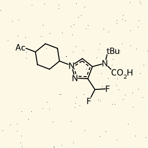 CC(=O)C1CCC(n2cc(N(C(=O)O)C(C)(C)C)c(C(F)F)n2)CC1